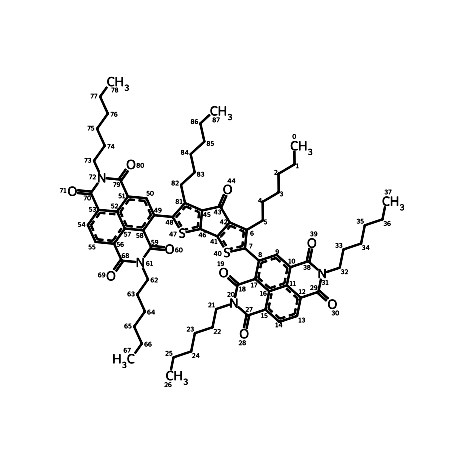 CCCCCCc1c(-c2cc3c4c(ccc5c4c2C(=O)N(CCCCCC)C5=O)C(=O)N(CCCCCC)C3=O)sc2c1C(=O)c1c-2sc(-c2cc3c4c(ccc5c4c2C(=O)N(CCCCCC)C5=O)C(=O)N(CCCCCC)C3=O)c1CCCCCC